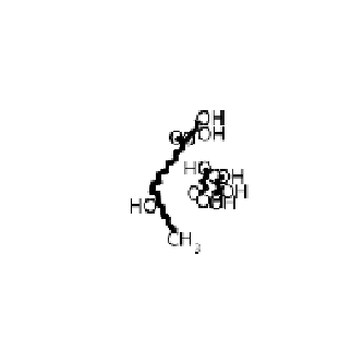 CCCCCC[C@@H](O)C/C=C\CCCCCCCC(=O)OCC(O)CO.O=C(O)CCC(=O)O.OCC(O)CO